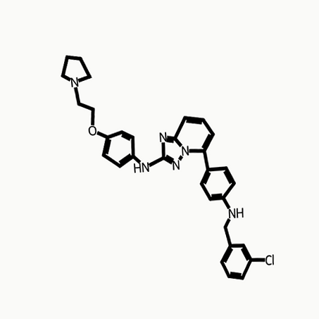 Clc1cccc(CNc2ccc(-c3cccc4nc(Nc5ccc(OCCN6CCCC6)cc5)nn34)cc2)c1